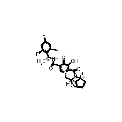 C[C@@H](NC(=O)c1cn2c(c(O)c1=O)C(=O)N1[C@@H]3CC=C(C3)O[C@@H]1C2)c1c(F)cc(F)cc1F